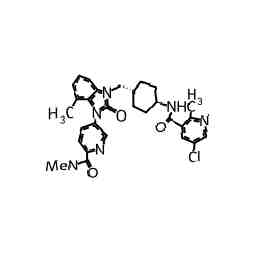 CNC(=O)c1ccc(-n2c(=O)n(C[C@H]3CC[C@H](NC(=O)c4cc(Cl)cnc4C)CC3)c3cccc(C)c32)cn1